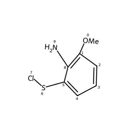 COc1cccc(SCl)c1N